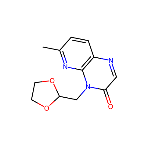 Cc1ccc2ncc(=O)n(CC3OCCO3)c2n1